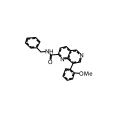 COc1ccccc1-c1cncc2ccc(C(=O)NCc3ccccc3)nc12